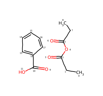 CCC(=O)OC(=O)CC.O=C(O)c1ccccc1